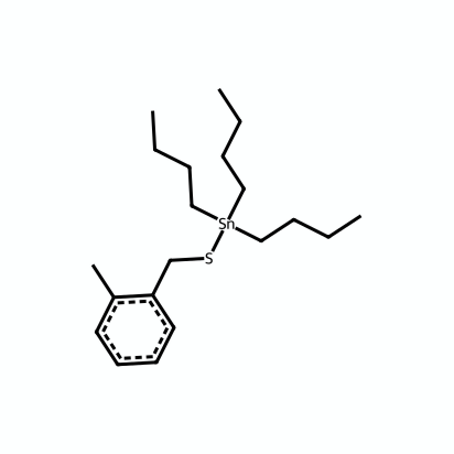 CCC[CH2][Sn]([CH2]CCC)([CH2]CCC)[S]Cc1ccccc1C